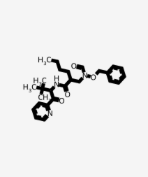 CCCCC(CN(C=O)OCc1ccccc1)C(=O)NC(C(=O)c1ccccn1)C(C)(C)C